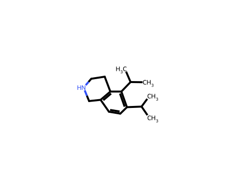 CC(C)c1ccc2c(c1C(C)C)CCNC2